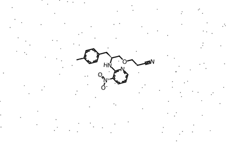 Cc1ccc(C[C@@H](COCCC#N)Nc2ncccc2[N+](=O)[O-])cc1